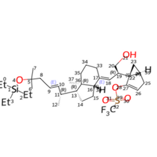 CC[Si](CC)(CC)OC(C)(C)C/C=C/[C@@H](C)[C@H]1CC[C@H]2/C(=C/[C@@H](CO)[C@]34C[C@H]3CC=C4OS(=O)(=O)C(F)(F)F)CCC[C@]12C